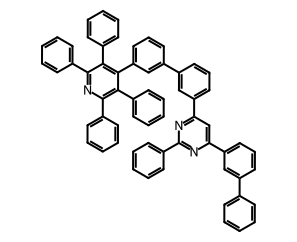 c1ccc(-c2cccc(-c3cc(-c4cccc(-c5cccc(-c6c(-c7ccccc7)c(-c7ccccc7)nc(-c7ccccc7)c6-c6ccccc6)c5)c4)nc(-c4ccccc4)n3)c2)cc1